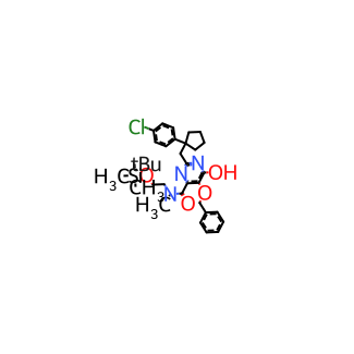 CN(CCO[Si](C)(C)C(C)(C)C)C(=O)c1nc(CC2(c3ccc(Cl)cc3)CCCC2)nc(O)c1OCc1ccccc1